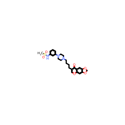 CS(=O)(=O)Nc1cccc(N2CCN(CCCCc3coc4cc5c(cc4c3=O)OCO5)CC2)c1